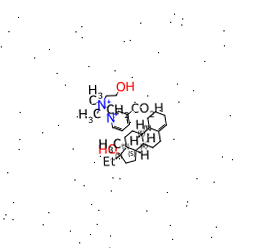 CC[C@]1(O)CC[C@H]2[C@@H]3CCC4=CCCC[C@@H]4[C@H]3CC[C@@]21C.C[N+](C)(C)CCO.O=C(O)c1cccnc1